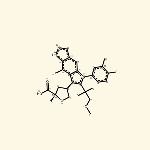 COCC(C)(C)c1c(C2CO[C@](C)(C(=O)O)C2)c2c(F)c3[nH]ncc3cc2n1-c1ccc(F)c(C)c1